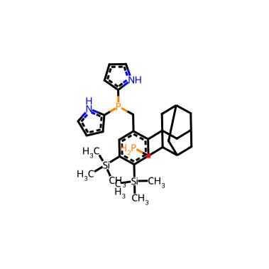 C[Si](C)(C)c1cc(CP(c2ccc[nH]2)c2ccc[nH]2)c(C23CC4CC(CC(C4)C2CP)C3)cc1[Si](C)(C)C